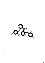 O=C(c1cccnc1Cc1ccc(Cl)cc1Cl)c1cccnc1Cc1ccc(Cl)cc1Cl